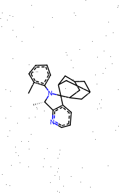 Cc1ccccc1N1[C@@H](C)c2ncccc2C12C1CC3CC(C1)CC2C3